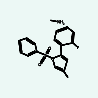 CN.Cc1cc(-c2ccccc2F)n(S(=O)(=O)c2ccccc2)c1